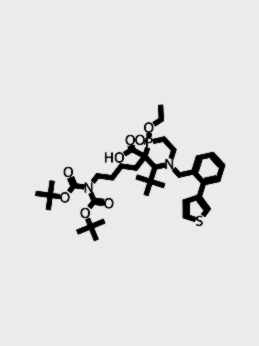 CCOP1(=O)CCN(Cc2ccccc2-c2ccsc2)C(C(C)(C)C)C1(CCCCN(C(=O)OC(C)(C)C)C(=O)OC(C)(C)C)C(=O)O